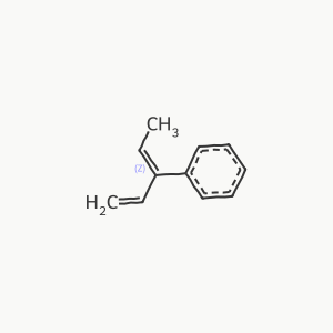 C=C/C(=C/C)c1ccccc1